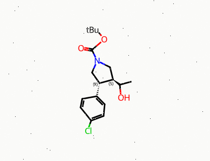 CC(O)[C@@H]1CN(C(=O)OC(C)(C)C)C[C@H]1c1ccc(Cl)cc1